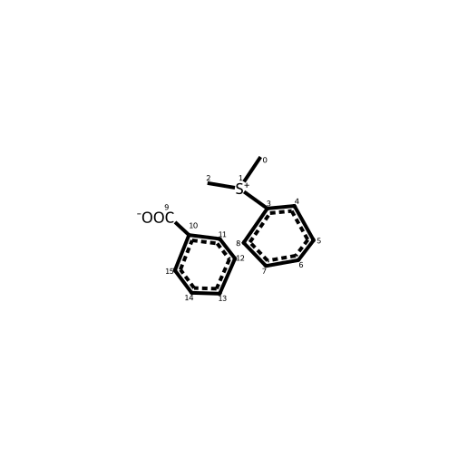 C[S+](C)c1ccccc1.O=C([O-])c1ccccc1